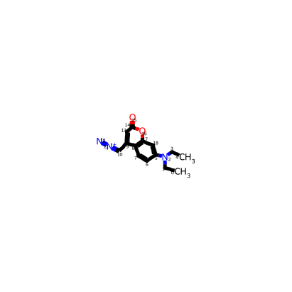 CCN(CC)c1ccc2c(C=[N+]=[N-])cc(=O)oc2c1